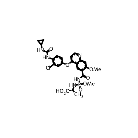 COc1cc2nccc(Oc3ccc(NC(=O)NC4CC4)c(Cl)c3)c2cc1C(=O)NP(=O)(N[C@@H](C)C(=O)O)OC